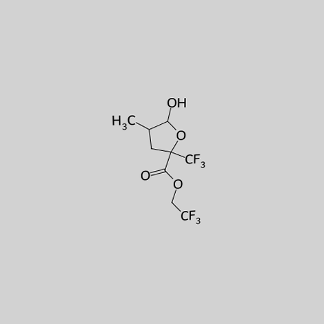 CC1CC(C(=O)OCC(F)(F)F)(C(F)(F)F)OC1O